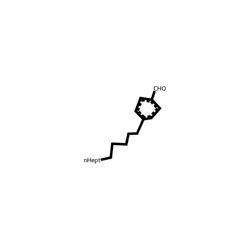 CCCCCCCCCCCCc1ccc(C=O)cc1